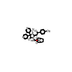 CCCS(=O)(=O)N1C2CCC1CC(CN1C(=O)C(c3ccncc3)(c3ccncc3)N(C)C1=CC(=O)c1ccc(C#N)cc1)C2